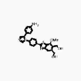 COc1c(CO)c(CO)cc2nc(-c3ccc(-n4cncc4-c4ccc(N)cc4)cc3)sc12